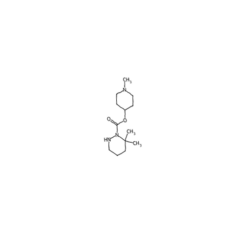 CN1CCC(OC(=O)N2NCCCC2(C)C)CC1